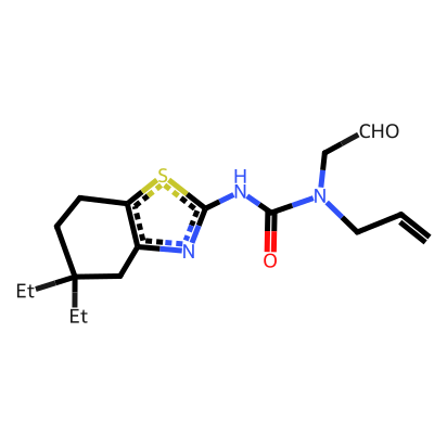 C=CCN(CC=O)C(=O)Nc1nc2c(s1)CCC(CC)(CC)C2